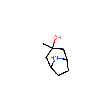 CC1(O)CC2CCC(C1)N2